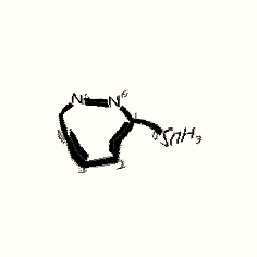 [SnH3][c]1cccnn1